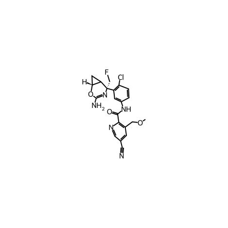 COCc1cc(C#N)cnc1C(=O)Nc1ccc(Cl)c([C@@]2(CF)N=C(N)O[C@@H]3CC32)c1